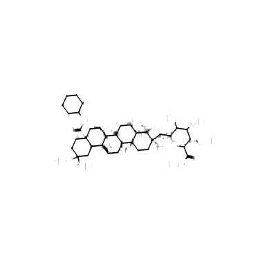 CC1(C)CC[C@]2(C(=O)OC3CCCCC3)CC[C@]3(C)C(=CCC4[C@@]5(C)CC[C@@H]6[C@H]([C@@H]7OC(C(=O)O)[C@@H](O)C(O)C7O)O[C@@]6(C)C5CC[C@]43C)C2C1